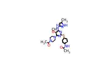 COc1c(Nc2cc(C)[nH]n2)nc(Sc2ccc(NC(C)=O)cc2)nc1N1CCN(C(C)=O)CC1